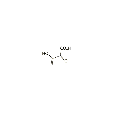 C=C(O)C(=O)C(=O)O